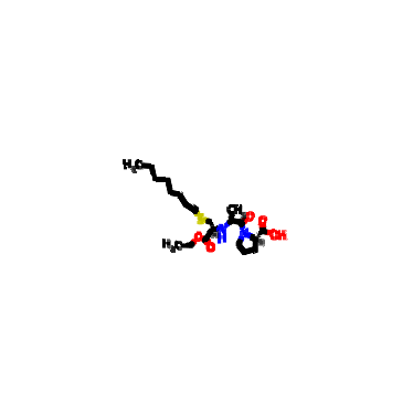 CCCCCCCCSC[C@H](NC(C)C(=O)N1CCC[C@H]1C(=O)O)C(=O)OCC